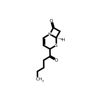 CCCCC(=O)C1C=CN2C(=O)C[C@H]2S1